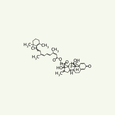 CC(C=CC1=C(C)CCCC1(C)C)=CC=CC(C)=CC(=O)OCC(=O)[C@@]1(O)[C@H](C)C[C@H]2[C@@H]3CCC4=CC(=O)C=C[C@]4(C)[C@@]3(F)[C@@H](O)C[C@@]21C